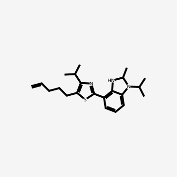 C=CCCCc1sc(-c2cccc3c2NC(C)N3C(C)C)nc1C(C)C